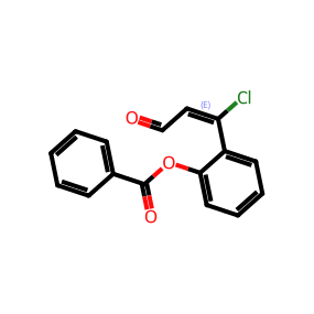 O=C/C=C(/Cl)c1ccccc1OC(=O)c1ccccc1